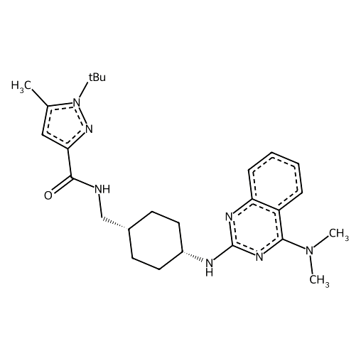 Cc1cc(C(=O)NC[C@H]2CC[C@@H](Nc3nc(N(C)C)c4ccccc4n3)CC2)nn1C(C)(C)C